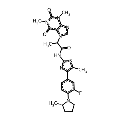 Cc1sc(NC(=O)C(C)n2cnc3c2c(=O)n(C)c(=O)n3C)nc1-c1ccc(N2CCC[C@@H]2C)c(F)c1